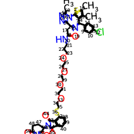 Cc1sc2c(c1C)C(c1ccc(Cl)cc1)=N[C@@H](CC(=O)NCCCOCCOCCOCCOCCSc1cccc3c1C(=O)N(C1CCC(=O)NC1=O)C3=O)c1nnc(C)n1-2